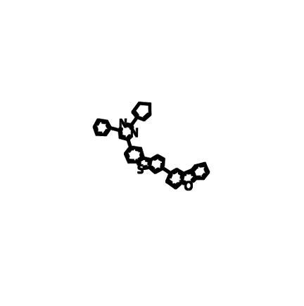 C1=CC(c2nc(-c3ccccc3)cc(-c3ccc4sc5cc(-c6ccc7oc8ccccc8c7c6)ccc5c4c3)n2)=CCC1